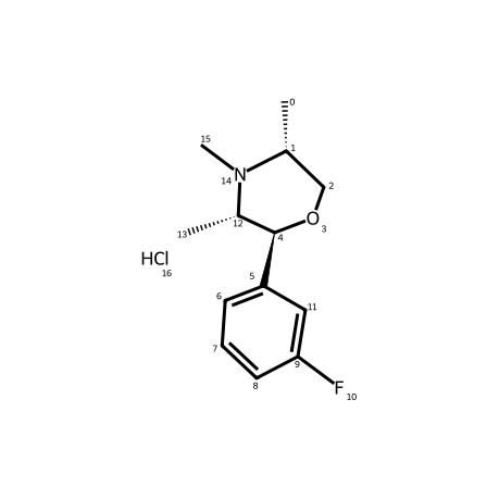 C[C@@H]1CO[C@@H](c2cccc(F)c2)[C@H](C)N1C.Cl